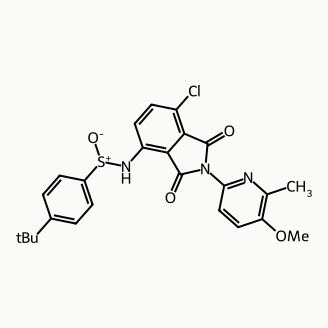 COc1ccc(N2C(=O)c3c(Cl)ccc(N[S+]([O-])c4ccc(C(C)(C)C)cc4)c3C2=O)nc1C